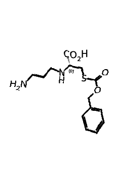 NCCCN[C@@H](CSC(=O)OCc1ccccc1)C(=O)O